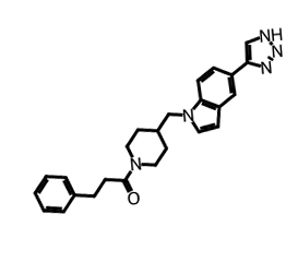 O=C(CCc1ccccc1)N1CCC(Cn2ccc3cc(-c4c[nH]nn4)ccc32)CC1